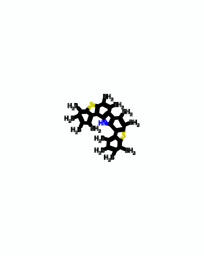 Bc1c(B)c(B)c2c(sc3c(B)c(B)c4c([nH]c5c4c(B)c(B)c4sc6c(B)c(B)c(B)c(B)c6c45)c32)c1B